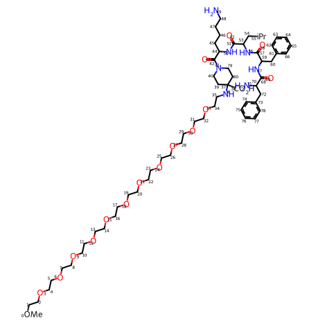 COCCOCCOCCOCCOCCOCCOCCOCCOCCOCCOCCOCCNC1(C(=O)O)CCN(C(=O)C(CCCCN)NC(=O)C(CC(C)C)NC(=O)C(Cc2ccccc2)NC(=O)C(N)Cc2ccccc2)CC1